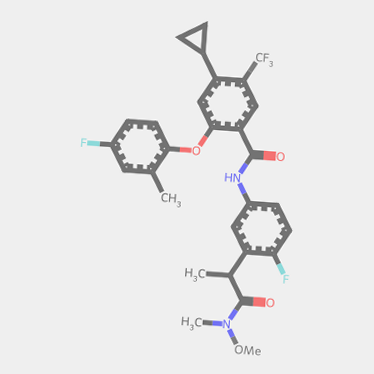 CON(C)C(=O)C(C)c1cc(NC(=O)c2cc(C(F)(F)F)c(C3CC3)cc2Oc2ccc(F)cc2C)ccc1F